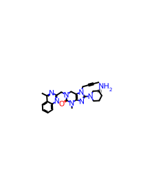 CC#CCn1c(N2CCC[C@@H](N)C2)nc2c1CN(Cc1nc(C)c3ccccc3n1)C(=O)N2C